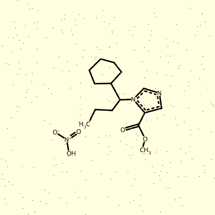 CCCC(C1CCCCC1)n1cncc1C(=O)OC.O=[N+]([O-])O